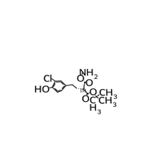 CC(C)(C)OC(=O)[C@H](CCc1ccc(O)c(Cl)c1)C(=O)ON